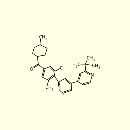 Cc1cc(C(=O)C2CCC(C)CC2)cc(Cl)c1-c1cncc(-c2ccnc(C(C)(C)C)c2)c1